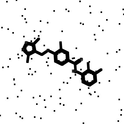 Cc1cc(C(=O)Nc2cccc(C)c2C)ccc1OCc1c(C)noc1C